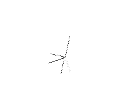 CCCCCCCCCCCCCCC(CCCCCCCCCC)(CCCCCCCCCC)[C](CCCCCCCCCC)CCCCCCCCCC